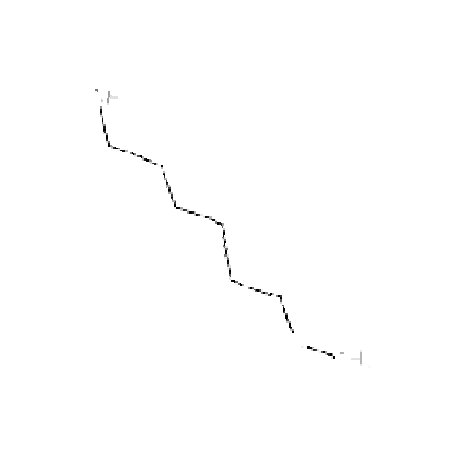 NCCCCCCOP